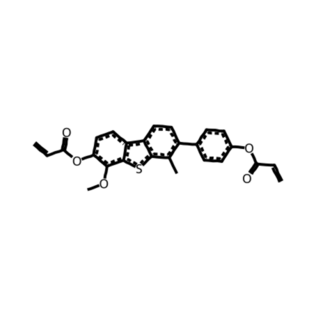 C=CC(=O)Oc1ccc(-c2ccc3c(sc4c(OC)c(OC(=O)C=C)ccc43)c2C)cc1